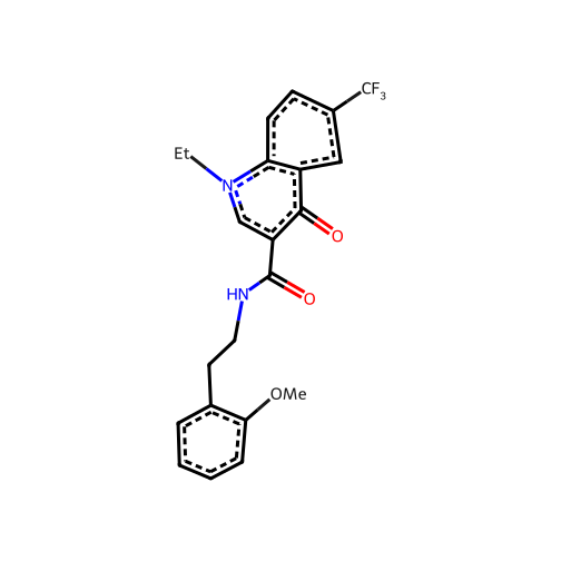 CCn1cc(C(=O)NCCc2ccccc2OC)c(=O)c2cc(C(F)(F)F)ccc21